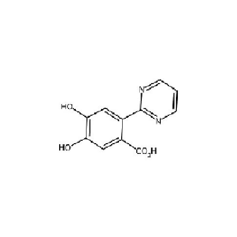 O=C(O)c1cc(O)c(O)cc1-c1ncccn1